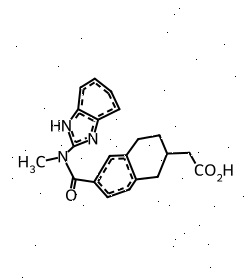 CN(C(=O)c1ccc2c(c1)CCC(CC(=O)O)C2)c1nc2ccccc2[nH]1